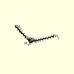 CCCCCCCCCCCCCCCCCC[N+](C)(C)CC(O)COCCCCCCCCCCCC